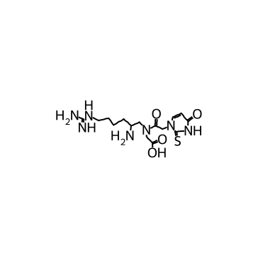 N=C(N)NCCCCC(N)CN(CC(=O)O)C(=O)Cn1ccc(=O)[nH]c1=S